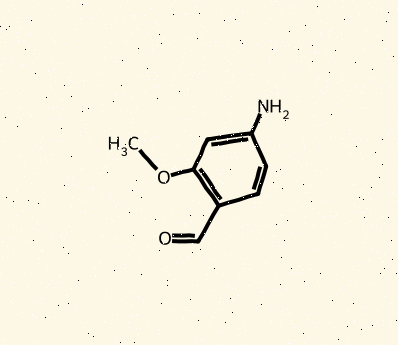 COc1cc(N)ccc1C=O